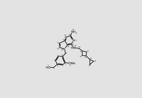 COc1cc(CO)ccc1Cn1ncc2nc(N)nc(NCC3CC(C4CC4)C3)c21